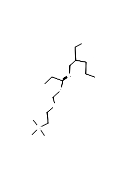 CC/C(=N\CC(CC)[C@H](C)CC)NCOCC[Si](C)(C)C